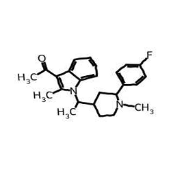 CC(=O)c1c(C)n(C(C)C2CCN(C)C(c3ccc(F)cc3)C2)c2ccccc12